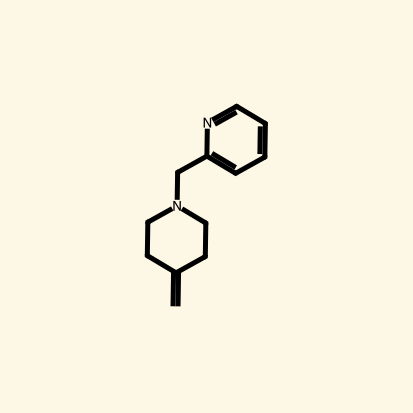 C=C1CCN(Cc2ccccn2)CC1